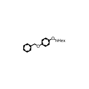 [CH2]CCCCCOc1ccc(OCc2ccccc2)cc1